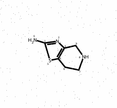 Nc1nc2c(s1)CCNC2